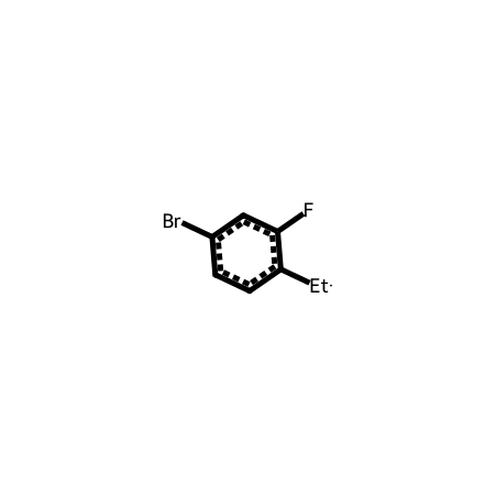 C[CH]c1ccc(Br)cc1F